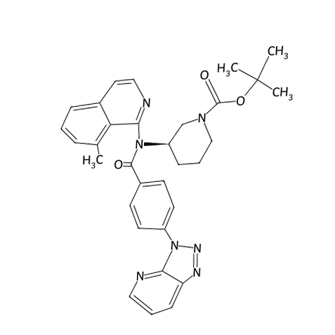 Cc1cccc2ccnc(N(C(=O)c3ccc(-n4nnc5cccnc54)cc3)[C@@H]3CCCN(C(=O)OC(C)(C)C)C3)c12